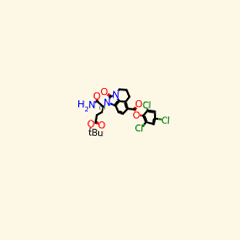 CC(C)(C)OC(=O)CC[C@@H](C(N)=O)n1c(=O)n2c3c(c(C(=O)Oc4c(Cl)cc(Cl)cc4Cl)ccc31)CCC2